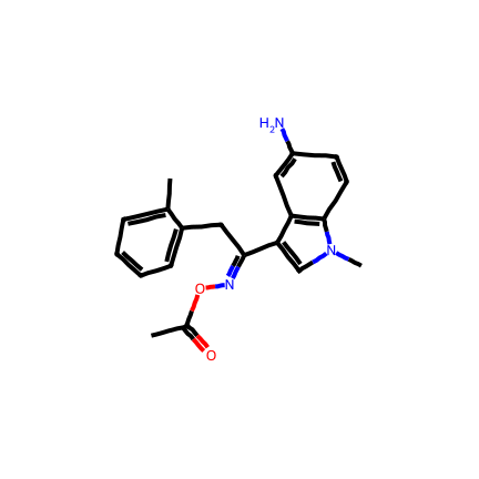 CC(=O)O/N=C(\Cc1ccccc1C)c1cn(C)c2ccc(N)cc12